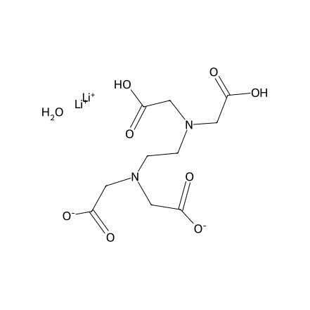 O.O=C([O-])CN(CCN(CC(=O)O)CC(=O)O)CC(=O)[O-].[Li+].[Li+]